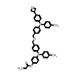 C=CC(=O)Oc1ccc(N(c2ccc(C)cc2)c2ccc(COCc3ccc(N(c4ccc(C)cc4)c4ccc(C5COC5)cc4)cc3)cc2)cc1